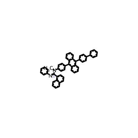 CN(/C(=N\c1ccccc1)c1cccc2ccccc12)c1ccc(-c2c3ccccc3c(-c3ccc(-c4ccccc4)cc3)c3ccccc23)cc1